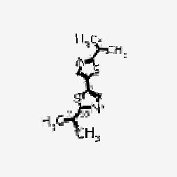 CC(C)c1ncc(-c2cnc(C(C)C)s2)s1